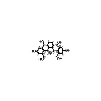 CCC(c1ccccc1[C@@H](CC)c1c(CO)cc(O)cc1CO)c1c(CO)cc(O)cc1CO